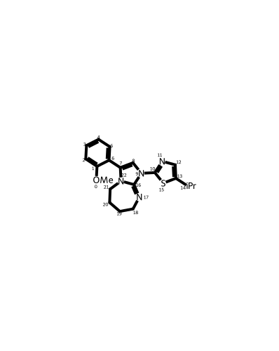 COc1ccccc1C1=CN(c2ncc(C(C)C)s2)C2=NCCCCN12